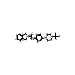 CC(C)(C)N1CCN(c2ccc(NC(=O)N3Cc4ccccc4C3)cc2)CC1